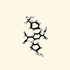 Cc1ccc(Oc2cc(=C(C#N)C#N)c(Oc3ccc(C(F)(F)F)cc3)cc2=C(C#N)C#N)cc1